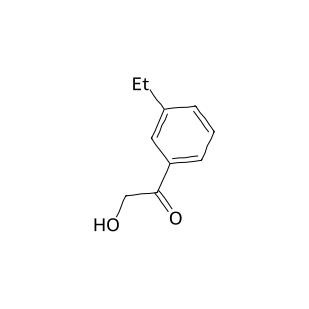 CCc1cccc(C(=O)CO)c1